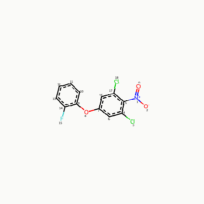 O=[N+]([O-])c1c(Cl)cc(Oc2ccccc2F)cc1Cl